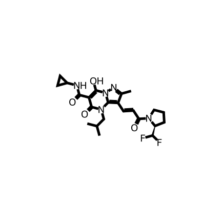 Cc1nn2c(O)c(C(=O)NC3CC3)c(=O)n(CC(C)C)c2c1/C=C/C(=O)N1CCC[C@H]1C(F)F